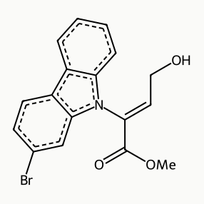 COC(=O)/C(=C/CO)n1c2ccccc2c2ccc(Br)cc21